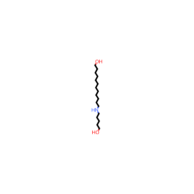 OCCCCCCCCCCCCNCCCCCO